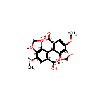 COc1cc(C(=O)O)c(-c2c(C(=O)O)cc(OC)c3c2OCO3)c2c1OCO2